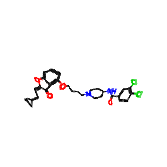 O=C(NC1CCN(CCCCOc2cccc3c2C(=O)/C(=C\CC2CC2)O3)CC1)c1ccc(Cl)c(Cl)c1